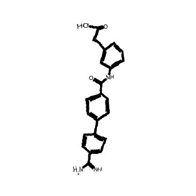 N=C(N)c1ccc(-c2ccc(C(=O)Nc3cccc(CC(=O)O)c3)cc2)cc1